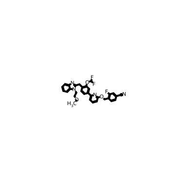 COCCn1c(Cc2ccc(-c3cccc(OCc4ccc(C#N)cc4F)n3)cc2OC(F)F)nc2ccccc21